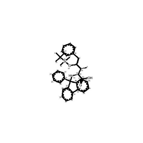 C[C@H](C(Cc1ccccc1)O[Si](C)(C)C(C)(C)C)[C@H](NC1(c2ccccc2)c2ccccc2-c2ccccc21)C(=O)O